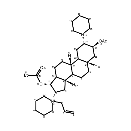 C=CC[N+]1([C@H]2C[C@H]3C4CC[C@H]5C[C@H](OC(C)=O)[C@@H](N6CCCCC6)CC5[C@H]4CCC3[C@H]2OC(=O)CC)CCCCC1